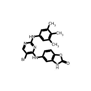 Cc1cc(Nc2ncc(Br)c(Nc3ccc4oc(=O)[nH]c4c3)n2)cc(C)c1C